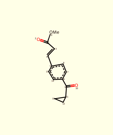 COC(=O)C=Cc1ccc(C(=O)C2CC2)cc1